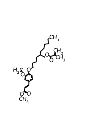 C=C(C)C(=O)OCC(CCCCCC)CCCCOc1ccc(C=CC(=O)OC)cc1OC